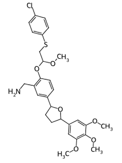 COc1cc(C2CCC(c3ccc(OC(CSc4ccc(Cl)cc4)OC)c(CN)c3)O2)cc(OC)c1OC